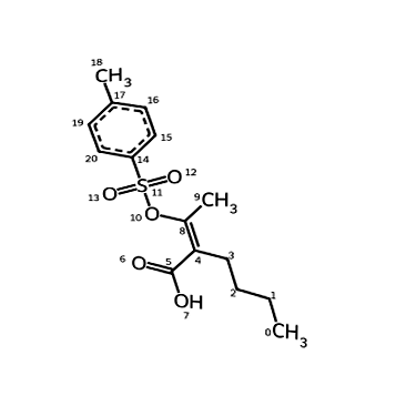 CCCCC(C(=O)O)=C(C)OS(=O)(=O)c1ccc(C)cc1